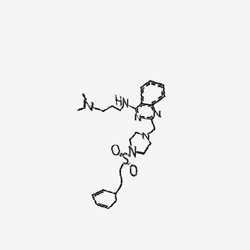 CN(C)CCCNc1nc(CN2CCN(S(=O)(=O)CCC3C=CC=CC3)CC2)nc2ccccc12